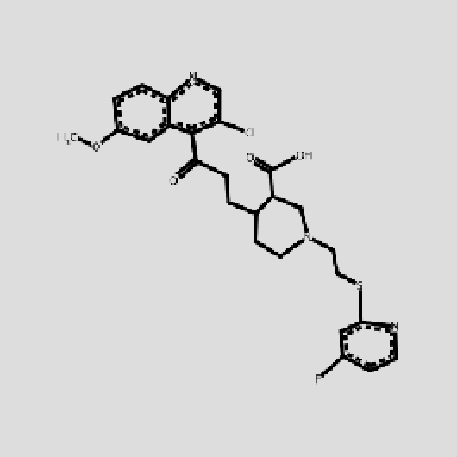 COc1ccc2ncc(Cl)c(C(=O)CCC3CCN(CCSc4cc(F)ccn4)CC3C(=O)O)c2c1